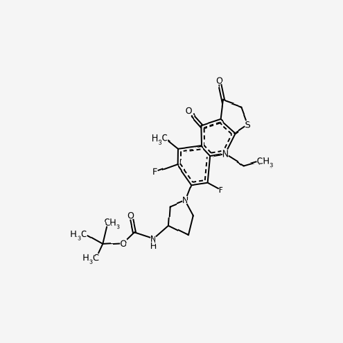 CCn1c2c(c(=O)c3c(C)c(F)c(N4CCC(NC(=O)OC(C)(C)C)C4)c(F)c31)C(=O)CS2